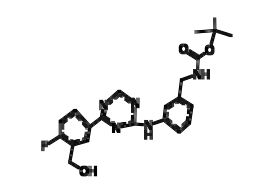 CC(C)(C)OC(=O)NCc1cccc(Nc2ncnc(-c3ccc(F)c(CO)c3)n2)c1